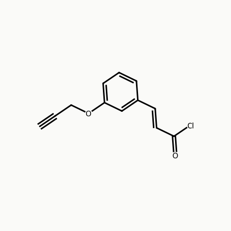 C#CCOc1cccc(/C=C/C(=O)Cl)c1